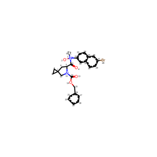 CC[N+]([O-])(C(=O)C1CC2(CC2)CN1C(=O)OCc1ccccc1)c1ccc2cc(Br)ccc2c1